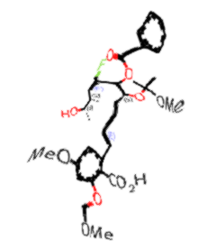 COCOc1cc(OC)cc(/C=C/CC[C@H](OC(C)(C)OC)C(OC(=O)c2ccccc2)/C(F)=C\[C@H](C)[C@H](C)O)c1C(=O)O